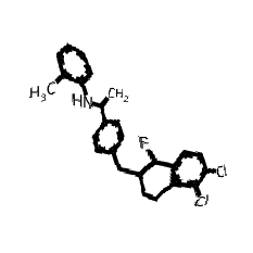 C=C(Nc1ccccc1C)c1ccc(CC2CCc3c(ccc(Cl)c3Cl)C2F)cc1